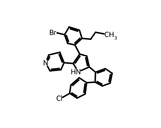 CCCc1ccc(Br)cc1-c1cc(-c2ccccc2-c2ccc(Cl)cc2)[nH]c1-c1ccncc1